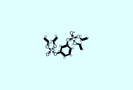 C=COP(=O)(OC=C)Oc1cccc(OP(=O)(OC=C)OC=C)c1